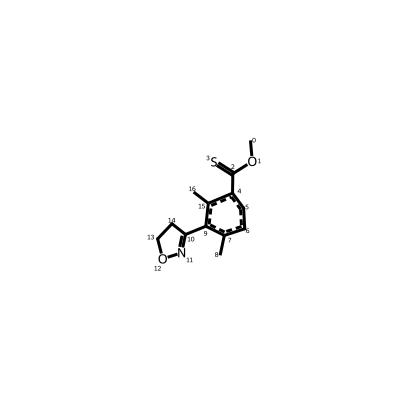 COC(=S)c1ccc(C)c(C2=NOCC2)c1C